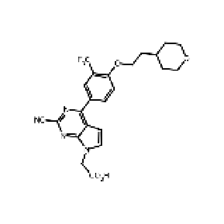 N#Cc1nc(-c2ccc(OCCC3CCOCC3)c(C(F)(F)F)c2)c2ccn(CC(=O)O)c2n1